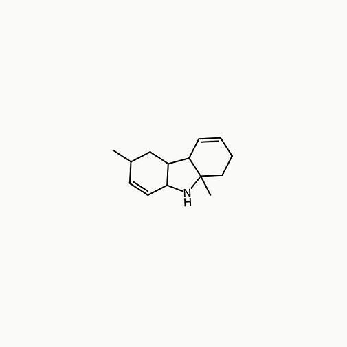 CC1C=CC2NC3(C)CCC=CC3C2C1